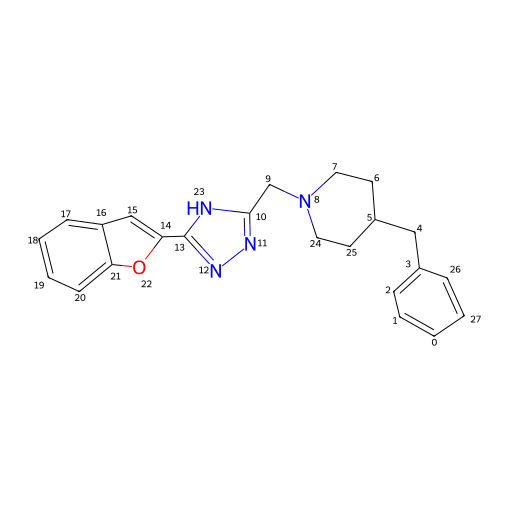 c1ccc(CC2CCN(Cc3nnc(-c4cc5ccccc5o4)[nH]3)CC2)cc1